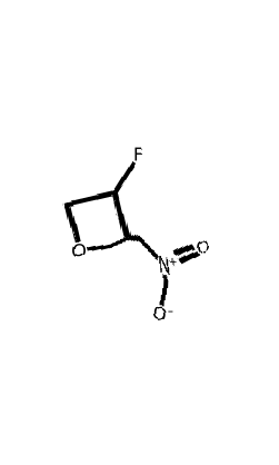 O=[N+]([O-])C1OCC1F